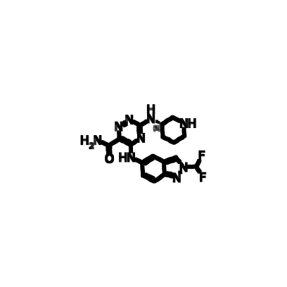 NC(=O)c1nnc(N[C@H]2CCCNC2)nc1Nc1ccc2nn(C(F)F)cc2c1